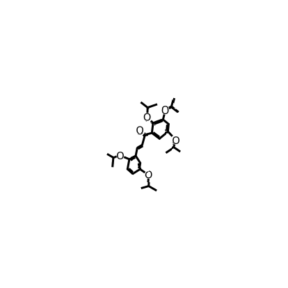 CC(C)Oc1ccc(OC(C)C)c(/C=C/C(=O)c2cc(OC(C)C)cc(OC(C)C)c2OC(C)C)c1